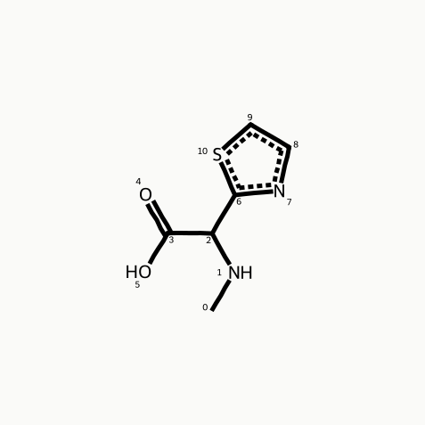 CNC(C(=O)O)c1nccs1